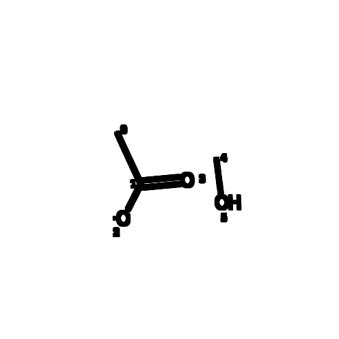 CC([O])=O.CO